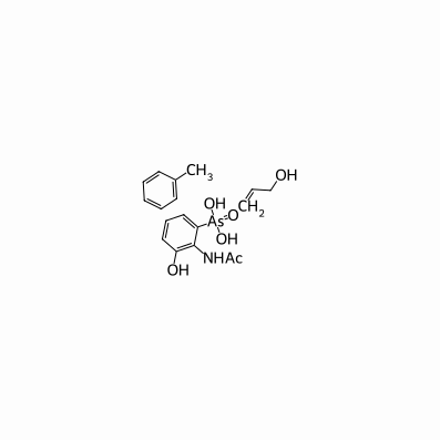 C=CCO.CC(=O)Nc1c(O)cccc1[As](=O)(O)O.Cc1ccccc1